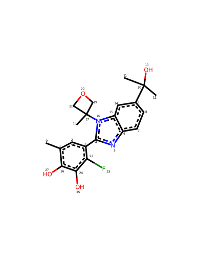 Cc1cc(-c2nc3ccc(C(C)(C)O)cc3n2C2(C)COC2)c(F)c(O)c1O